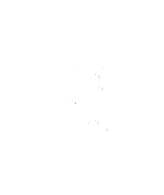 CCCNC(=O)Cc1nn(C)c(C(F)(F)F)c1C(C)(C)C#N